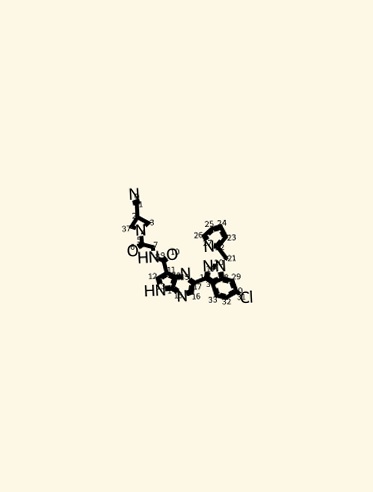 N#CC1CN(C(=O)CNC(=O)c2c[nH]c3ncc(-c4nn(Cc5ccccn5)c5cc(Cl)ccc45)nc23)C1